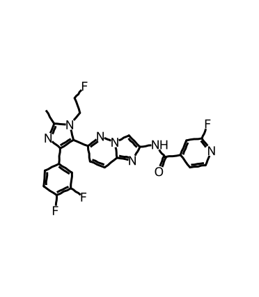 Cc1nc(-c2ccc(F)c(F)c2)c(-c2ccc3nc(NC(=O)c4ccnc(F)c4)cn3n2)n1CCF